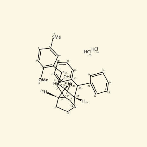 COc1ccc(SC)cc1CN[C@H]1[C@H]2CCN(C[C@@H]2CO)[C@H]1C(c1ccccc1)c1ccccc1.Cl.Cl